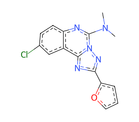 CN(C)c1nc2ccc(Cl)cc2c2nc(-c3ccco3)nn12